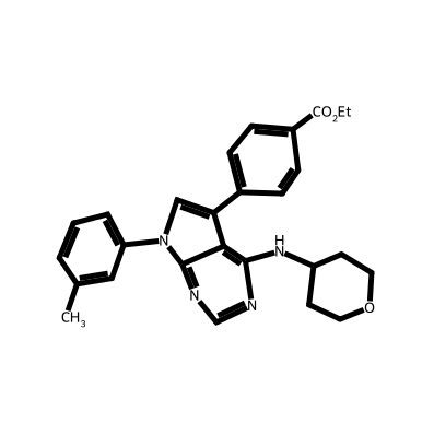 CCOC(=O)c1ccc(-c2cn(-c3cccc(C)c3)c3ncnc(NC4CCOCC4)c23)cc1